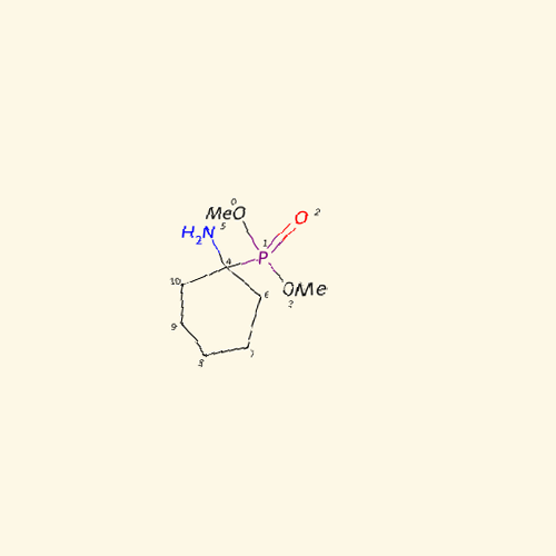 COP(=O)(OC)C1(N)CCCCC1